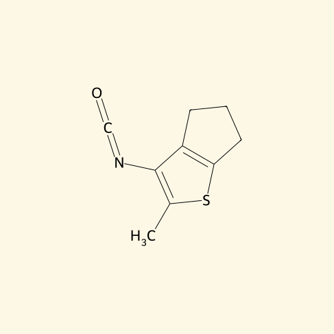 Cc1sc2c(c1N=C=O)CCC2